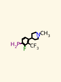 CN1CCC(c2ccc(P)c(F)c2C(F)(F)F)CC1